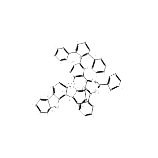 c1ccc(-c2nc(-c3ccccc3)nc(-c3cc(-c4c(-c5ccccc5)cccc4-c4ccccc4)ccc3-n3c4ccccc4c4c5sc6ccccc6c5ccc43)n2)cc1